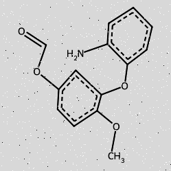 COc1ccc(OC=O)cc1Oc1ccccc1N